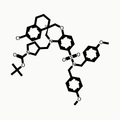 COc1ccc(CN(Cc2ccc(OC)cc2)S(=O)(=O)c2ccc3c(c2)N(CC2CCN(C(=O)OC(C)(C)C)C2)C[C@@]2(CCCc4cc(Cl)ccc42)CO3)cc1